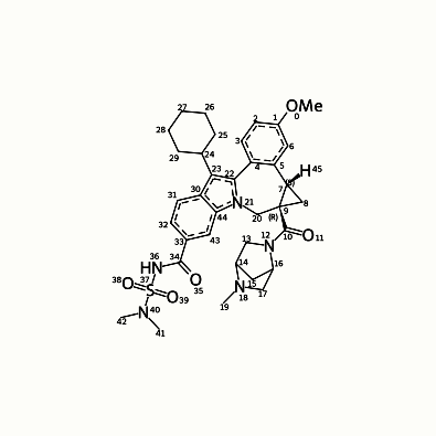 COc1ccc2c(c1)[C@@H]1C[C@]1(C(=O)N1CC3CC1CN3C)Cn1c-2c(C2CCCCC2)c2ccc(C(=O)NS(=O)(=O)N(C)C)cc21